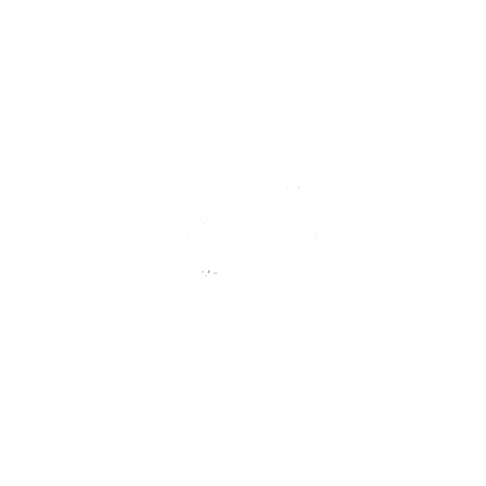 COc1c(C(C)O)cc(Cl)c(Cl)c1I